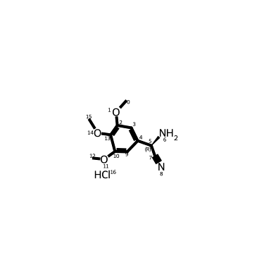 COc1cc([C@@H](N)C#N)cc(OC)c1OC.Cl